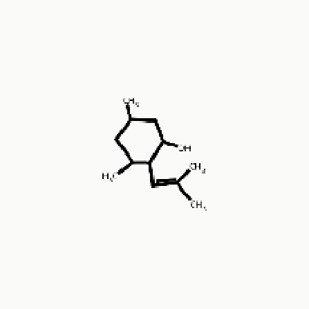 CC(C)=CC1C(C)CC(C)CC1O